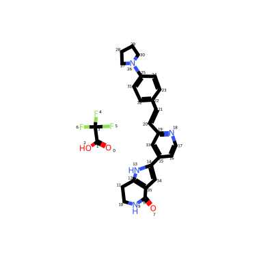 O=C(O)C(F)(F)F.O=C1NCCc2[nH]c(-c3ccnc(/C=C/c4ccc(N5CCCC5)cc4)c3)cc21